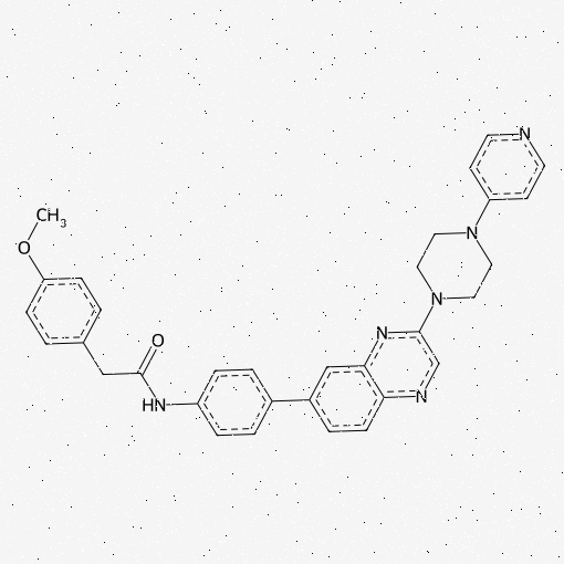 COc1ccc(CC(=O)Nc2ccc(-c3ccc4ncc(N5CCN(c6ccncc6)CC5)nc4c3)cc2)cc1